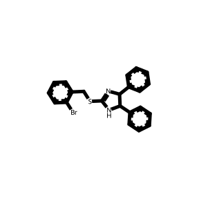 Brc1ccccc1CSC1=NC(c2ccccc2)C(c2ccccc2)N1